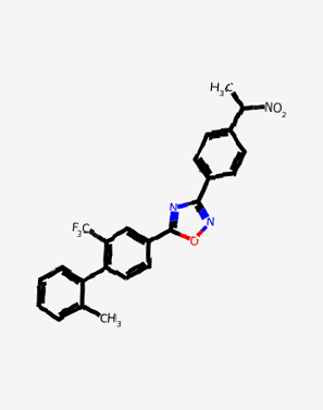 Cc1ccccc1-c1ccc(-c2nc(-c3ccc(C(C)[N+](=O)[O-])cc3)no2)cc1C(F)(F)F